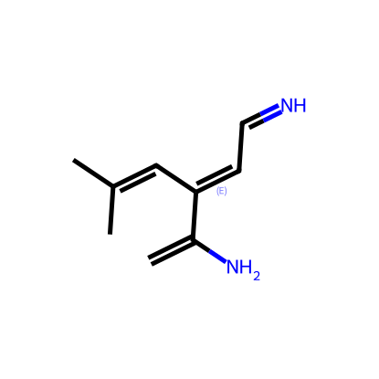 C=C(N)/C(C=C(C)C)=C/C=N